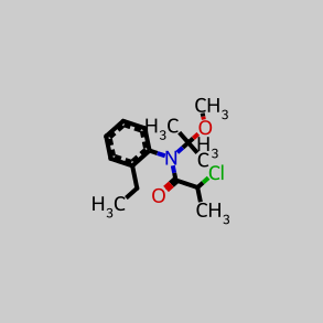 CCc1ccccc1N(C(=O)C(C)Cl)C(C)(C)OC